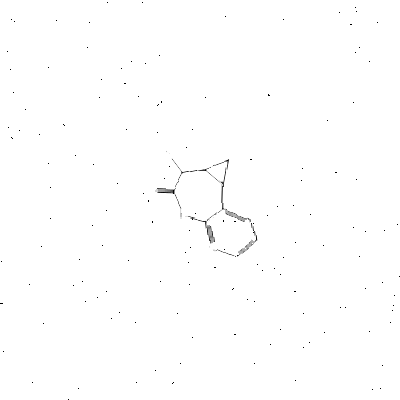 NC1C(=O)Nc2ncccc2C2CC12